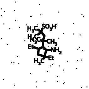 CCC1CC(C)(CC)C(N)C1C(C)(C)CC(C)(C)S(=O)(=O)O